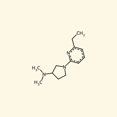 CCc1cccc(N2CCC(N(C)C)C2)n1